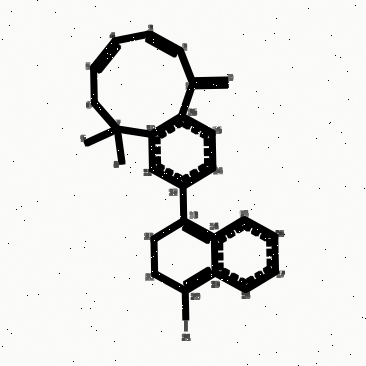 C=C1/C=C\C=C/CC(C)(C)c2cc(C3=c4ccccc4=C(I)CC3)ccc21